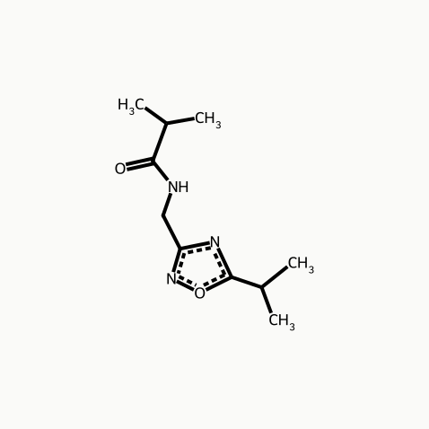 CC(C)C(=O)NCc1noc(C(C)C)n1